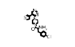 N[C@H](Cc1ccc(Cl)cc1)C(=O)N1CCN(c2ncncc2-c2ccsc2)CC1